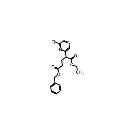 CCOC(=O)C(CCC(=O)OCc1ccccc1)c1cncc(Cl)n1